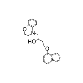 OC(CCOc1cccc2ccccc12)CN1CCOc2ccccc21